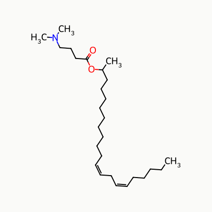 CCCCC/C=C\C/C=C\CCCCCCCCCC(C)OC(=O)CCCN(C)C